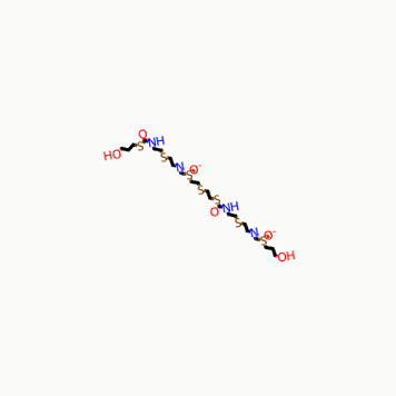 O=C(NCCSCC/N=C/[S+]([O-])CCSCCSC(=O)NCCSCC/N=C/[S+]([O-])CCCO)SCCCO